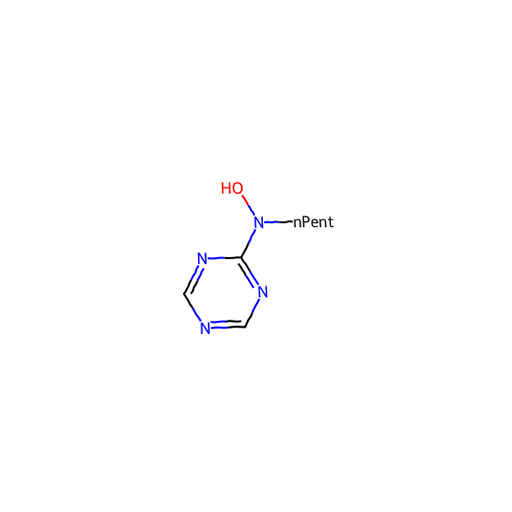 CCCCCN(O)c1ncncn1